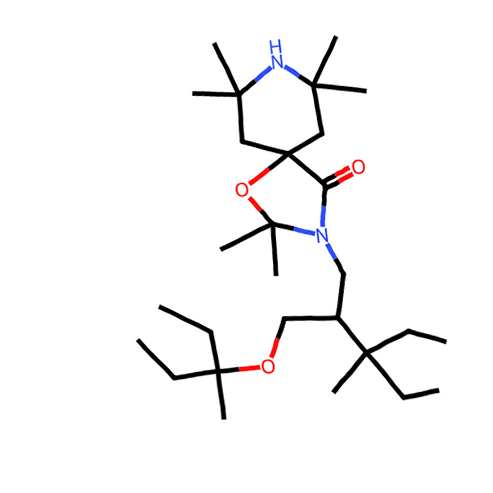 CCC(C)(CC)OCC(CN1C(=O)C2(CC(C)(C)NC(C)(C)C2)OC1(C)C)C(C)(CC)CC